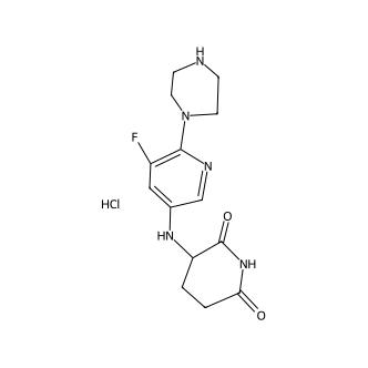 Cl.O=C1CCC(Nc2cnc(N3CCNCC3)c(F)c2)C(=O)N1